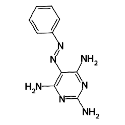 Nc1nc(N)c(N=Nc2ccccc2)c(N)n1